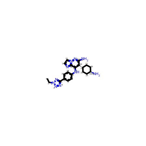 CCn1nnc(-c2ccc(Nc3c4nccn4nc(N)c3[C@H]3CC[C@H](N)CC3)cc2)n1